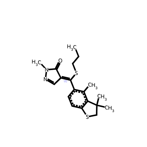 CCCS/C(=C1/C=NN(C)C1=O)c1ccc2c(c1C)C(C)(C)CS2